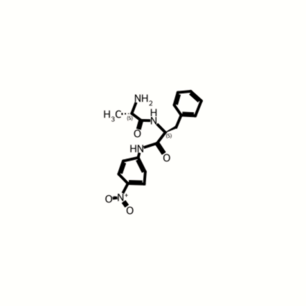 C[C@H](N)C(=O)N[C@@H](Cc1ccccc1)C(=O)Nc1ccc([N+](=O)[O-])cc1